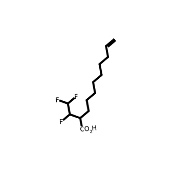 C=CCCCCCCCC(C(=O)O)C(F)C(F)F